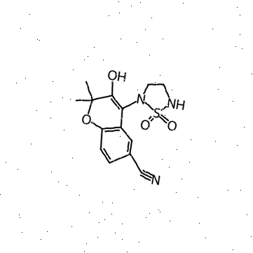 CC1(C)Oc2ccc(C#N)cc2C(N2CCNS2(=O)=O)=C1O